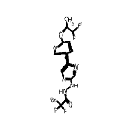 CC(Oc1ccc(-c2cnc(NNC(=O)C(F)(F)Br)cn2)cn1)C(F)F